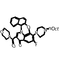 CCCCCCCCN1CCN(c2c(F)cc3c(=O)c(C(=O)N4CCOCC4)cn4c3c2Oc2ccc3ccccc3c2-4)CC1